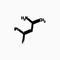 C=C(N)/C=C(/F)C(C)C